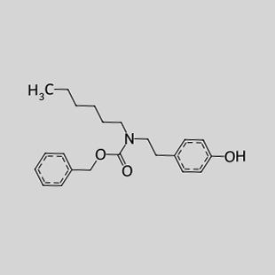 CCCCCCN(CCc1ccc(O)cc1)C(=O)OCc1ccccc1